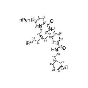 CCCCCc1ccc(C(=O)N(Cc2ccc(C(=O)NCCC3C=CC=C(Cl)C3)cc2)C2CCN(CCC(C)C)CC2)nc1